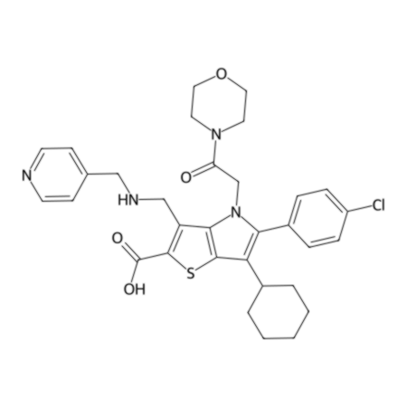 O=C(O)c1sc2c(C3CCCCC3)c(-c3ccc(Cl)cc3)n(CC(=O)N3CCOCC3)c2c1CNCc1ccncc1